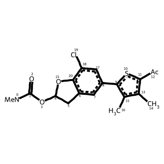 CNC(=O)OC1Cc2cc(-c3sc(C(C)=O)c(C)c3C)cc(Cl)c2O1